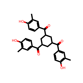 Cc1cc(C(=O)C2CC(C(=O)c3ccc(O)c(C)c3)CC(C(=O)c3ccc(O)c(C)c3)C2)ccc1O